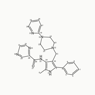 Cc1[nH]c(-c2ccccc2)c(CN2CCN(c3ccccn3)CC2)c1NC(=O)c1cnccn1